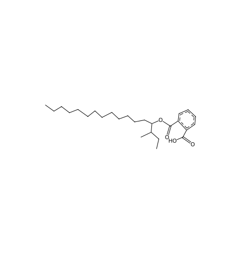 CCCCCCCCCCCCCC(OC(=O)c1ccccc1C(=O)O)C(C)CC